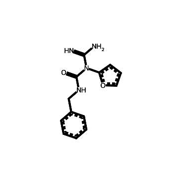 N=C(N)N(C(=O)NCc1ccccc1)c1ccco1